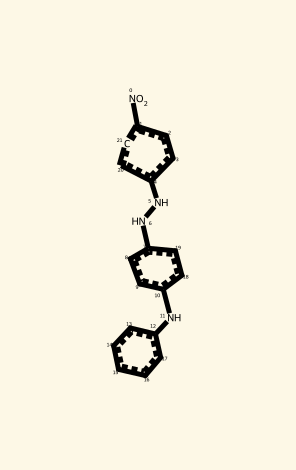 O=[N+]([O-])c1ccc(NNc2ccc(Nc3ccccc3)cc2)cc1